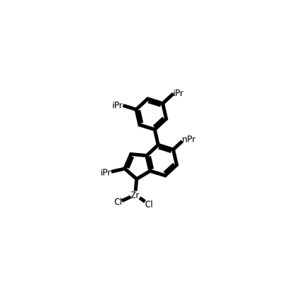 CCCc1ccc2c(c1-c1cc(C(C)C)cc(C(C)C)c1)C=C(C(C)C)[CH]2[Zr]([Cl])[Cl]